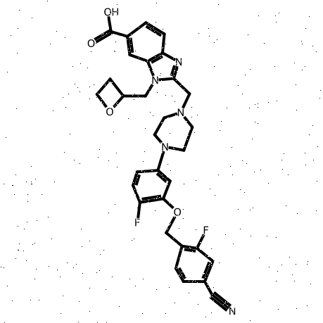 N#Cc1ccc(COc2cc(N3CCN(Cc4nc5ccc(C(=O)O)cc5n4CC4CCO4)CC3)ccc2F)c(F)c1